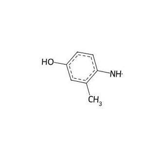 Cc1cc(O)ccc1[NH]